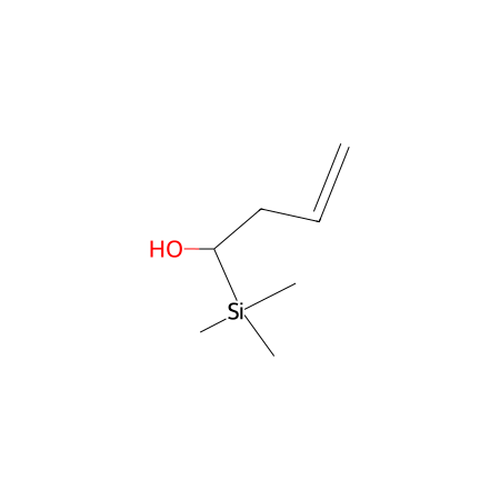 C=CCC(O)[Si](C)(C)C